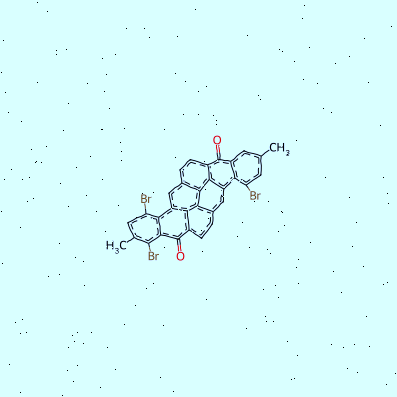 Cc1cc(Br)c2c(c1)c(=O)c1ccc3cc4c5c(Br)cc(C)c(Br)c5c(=O)c5ccc6cc2c1c3c6c54